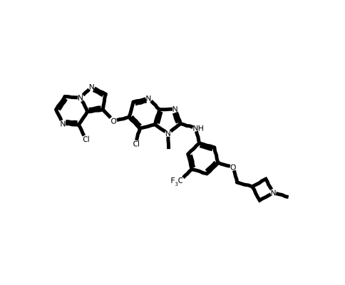 CN1CC(COc2cc(Nc3nc4ncc(Oc5cnn6ccnc(Cl)c56)c(Cl)c4n3C)cc(C(F)(F)F)c2)C1